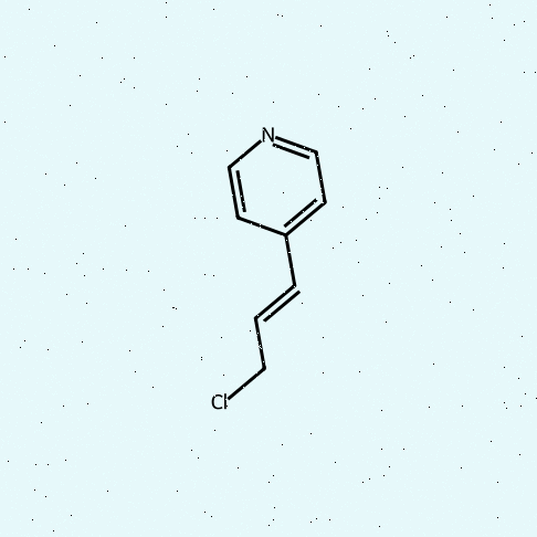 ClC/C=C/c1ccncc1